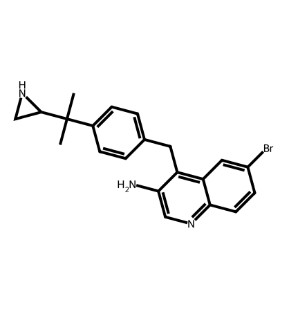 CC(C)(c1ccc(Cc2c(N)cnc3ccc(Br)cc23)cc1)C1CN1